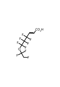 O=C(O)C=CC(F)(F)C(F)(F)C(F)(F)OC(F)(F)CF